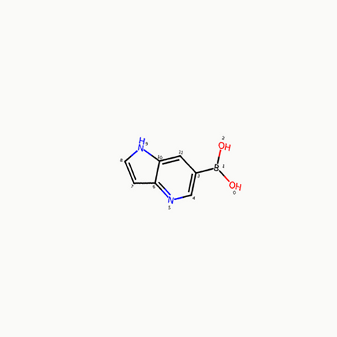 OB(O)c1cnc2cc[nH]c2c1